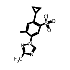 Cc1cc(C2CC2)c(S(=O)(=O)Cl)cc1-n1cnc(C(F)(F)F)n1